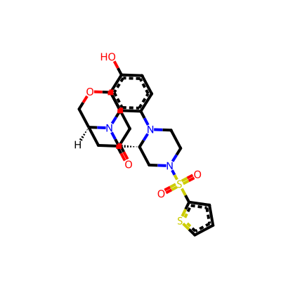 O=C1CC2COC[C@H](C1)N2C[C@H]1CN(S(=O)(=O)c2cccs2)CCN1c1ccc(O)cc1